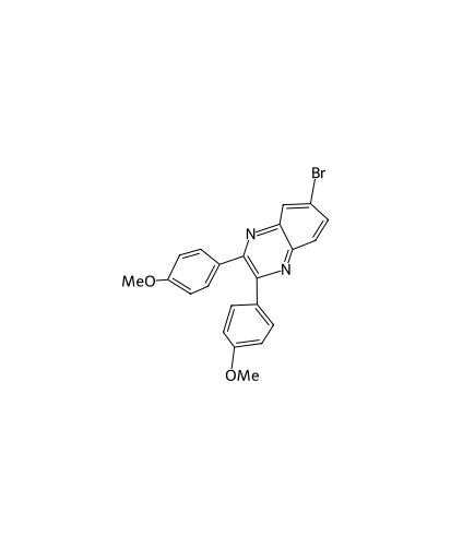 COc1ccc(-c2nc3ccc(Br)cc3nc2-c2ccc(OC)cc2)cc1